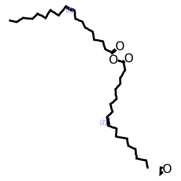 C1CO1.CCCCCCCC/C=C\CCCCCCCC(=O)OC(=O)CCCCCCC/C=C\CCCCCCCC